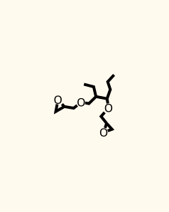 CCCC(OCC1CO1)C(CC)COCC1CO1